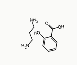 NCCCN.O=C(O)c1ccccc1O